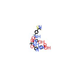 Cc1ncsc1-c1ccc([C@H](C)NC(=O)[C@@H]2C[C@@H](O)CN2C(=O)[C@@H](NC(=O)c2ccnc(N3CCN(C(=O)O)CC3)c2)C(C)(C)C)cc1